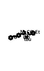 CCOC(=O)C(Cc1ccccc1)N(C(=O)OC(C)(C)C)c1ccnc(-c2ccc(OCc3ccccc3)cc2)c1